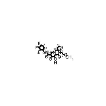 COCCN1C(=O)c2c(O)c(=O)c(C(=O)NCc3ccc(F)c(F)c3F)cn2CC12CCOC2